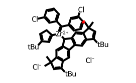 CC(C)(C)C1=CC[C]([Zr+2](=[C](c2cccc(Cl)c2)c2cccc(Cl)c2)[CH]2c3cc4c(cc3-c3cc5c(cc32)C(C)(C)C=C5C(C)(C)C)C(C(C)(C)C)=CC4(C)C)=C1.[Cl-].[Cl-]